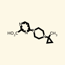 CC1(N2CCN(c3ccnc(C(=O)O)n3)CC2)CC1